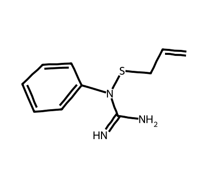 C=CCSN(C(=N)N)c1ccccc1